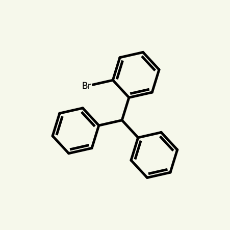 Brc1ccccc1C(c1ccccc1)c1ccccc1